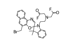 CC1(C)c2ccccc2N(CCN(CC(=O)F)CC(=O)F)C12C=Nc1c(c(CBr)cc3ccccc13)O2